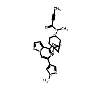 CC#CC(=O)N(C)[C@@H]1CC[C@H]2C[C@@]2(Oc2nc(-c3cnn(C)c3)cn3nccc23)C1